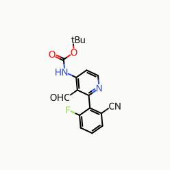 CC(C)(C)OC(=O)Nc1ccnc(-c2c(F)cccc2C#N)c1C=O